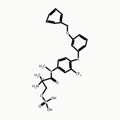 CN(C(=O)[C@@](C)(N)COP(=O)(O)O)c1ccc(Sc2cccc(OCc3ccccc3)c2)c(C(F)(F)F)c1